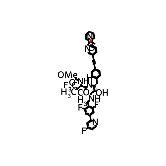 COC(=O)NC(C(=O)N[C@@H](Cc1ccc(C#Cc2ccc(N3CC4CC(C3)N4C3COC3)nc2)cc1)[C@@H](O)CNCc1c(F)cc(-c2cc(F)ccn2)cc1F)C(C)(C)C(F)(F)F